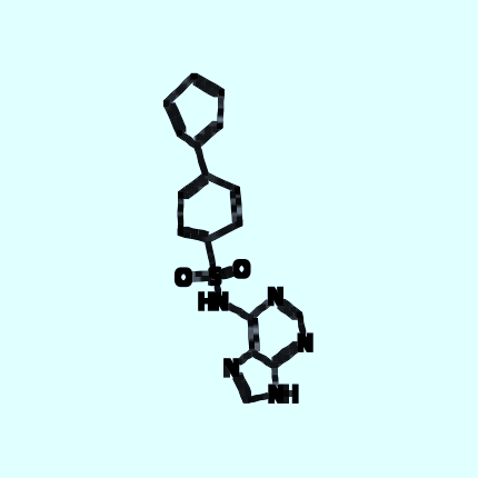 O=S(=O)(Nc1ncnc2[nH]cnc12)c1ccc(-c2ccccc2)cc1